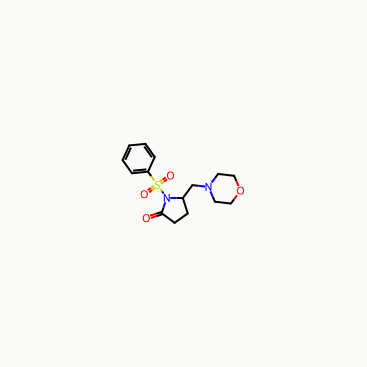 O=C1CCC(CN2CCOCC2)N1S(=O)(=O)c1ccccc1